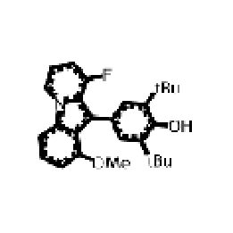 COc1cccc2c1c(-c1cc(C(C)(C)C)c(O)c(C(C)(C)C)c1)c1c(F)cccn12